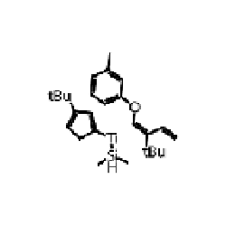 C=CC(=COc1cccc(C)c1)C(C)(C)C.C[SiH](C)[Ti][C]1=CC(C(C)(C)C)=CC1